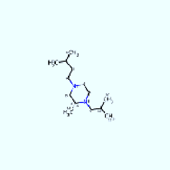 CC(C)CCN1CCN(CC(C)C)[C@H](C)C1